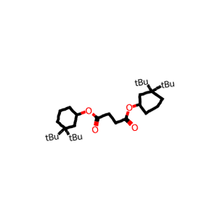 CC(C)(C)C1(C(C)(C)C)CCCC(OC(=O)CCC(=O)OC2CCCC(C(C)(C)C)(C(C)(C)C)C2)C1